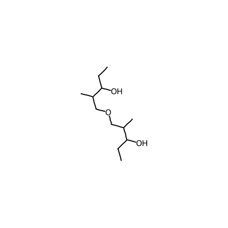 CCC(O)C(C)COCC(C)C(O)CC